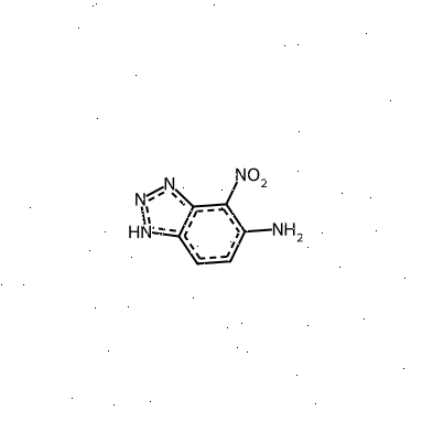 Nc1ccc2[nH]nnc2c1[N+](=O)[O-]